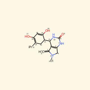 C=C1C2=C(CN1CC)NC(=O)NC2C1CC(C(C)C)=C(O)C=C1O